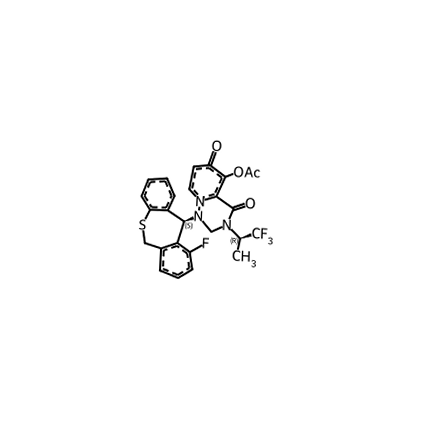 CC(=O)Oc1c2n(ccc1=O)N([C@@H]1c3ccccc3SCc3cccc(F)c31)CN([C@H](C)C(F)(F)F)C2=O